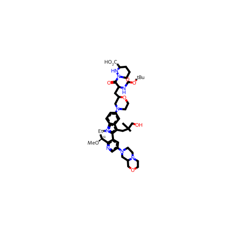 CCn1c(-c2cc(N3CCN4CCOCC4C3)cnc2[C@H](C)OC)c(CC(C)(C)CO)c2cc(N3CCOC(CC(NC(=O)OC(C)(C)C)C(=O)N4CCCC(C(=O)O)N4)C3)ccc21